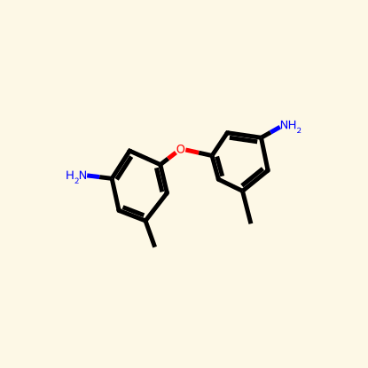 Cc1cc(N)cc(Oc2cc(C)cc(N)c2)c1